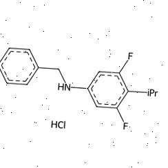 CC(C)c1c(F)cc(NCc2ccccc2)cc1F.Cl